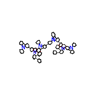 c1ccc(-c2ccccc2-c2c(-c3ccccc3)cccc2N(c2ccc(-c3ccc4c5ccccc5n(-c5ccc(-c6ccc7c8ccc(N(c9ccc(-c%10ccc%11c%12ccccc%12n(-c%12ccccc%12)c%11c%10)cc9)c9cccc(-c%10ccccc%10)c9-c9ccccc9-c9ccccc9)cc8n(-c8ccccc8)c7c6)cc5)c4c3)cc2)c2ccc3c(c2)c2ccccc2n3-c2ccccc2)cc1